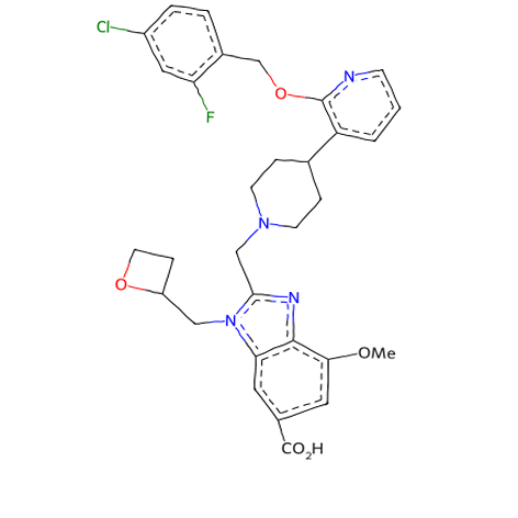 COc1cc(C(=O)O)cc2c1nc(CN1CCC(c3cccnc3OCc3ccc(Cl)cc3F)CC1)n2CC1CCO1